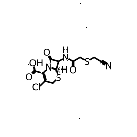 N#CCSCC(=O)NC1C(=O)N2C(C(=O)O)=C(Cl)CS[C@H]12